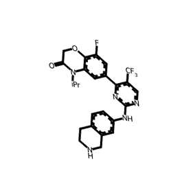 CC(C)N1C(=O)COc2c(F)cc(-c3nc(Nc4ccc5c(c4)CNCC5)ncc3C(F)(F)F)cc21